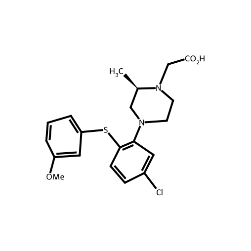 COc1cccc(Sc2ccc(Cl)cc2N2CCN(CC(=O)O)[C@H](C)C2)c1